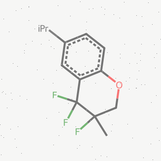 CC(C)c1ccc2c(c1)C(F)(F)C(C)(F)CO2